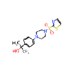 CC(O)(c1ccc(N2CCN(S(=O)(=O)c3nccs3)CC2)cc1)C(F)(F)F